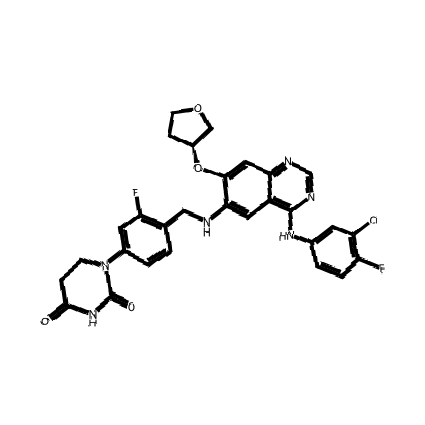 O=C1CCN(c2ccc(CNc3cc4c(Nc5ccc(F)c(Cl)c5)ncnc4cc3O[C@H]3CCOC3)c(F)c2)C(=O)N1